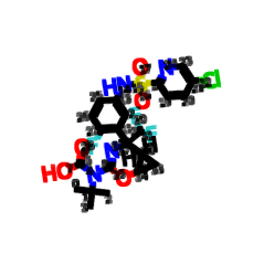 CC(C)(C)N(C(=O)O)C1=N[C@@](c2cc(NS(=O)(=O)c3ccc(Cl)cn3)ccc2F)(C(F)F)[C@H]2C[C@H]2O1